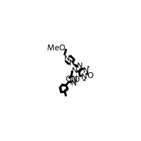 COCCN1CCN(c2nc3c(c(=O)n(C)c(=O)n3C)n2Cc2nnc(-c3cccc(C)c3)o2)CC1